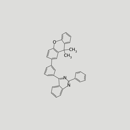 CC1(C)c2ccccc2Oc2ccc(-c3cccc(-c4nc(-c5ccccc5)nc5ccccc45)c3)cc21